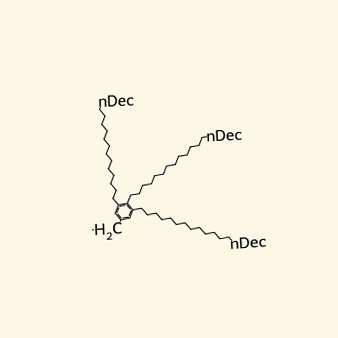 [CH2]c1cc(CCCCCCCCCCCCCCCCCCCCCCC)c(CCCCCCCCCCCCCCCCCCCCCCC)c(CCCCCCCCCCCCCCCCCCCCCCC)c1